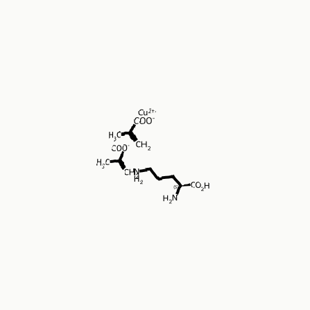 C=C(C)C(=O)[O-].C=C(C)C(=O)[O-].NCCC[C@H](N)C(=O)O.[Cu+2]